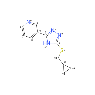 c1cncc(-c2nnc(SCC3CC3)[nH]2)c1